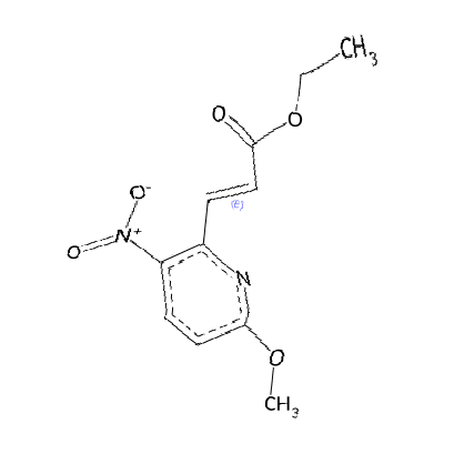 CCOC(=O)/C=C/c1nc(OC)ccc1[N+](=O)[O-]